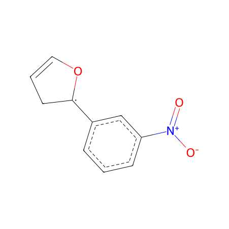 O=[N+]([O-])c1cccc([C]2CC=CO2)c1